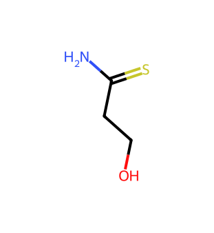 NC(=S)CCO